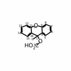 CC1(OC(=O)O)c2ccccc2Oc2ccccc21